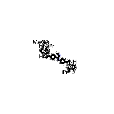 C/C=C\C(=C/c1ccc(-c2c[nH]c([C@@H]3CC[C@@H](C)N3C(=O)CC(C)C)n2)cc1)c1ccc(-c2c[nH]c([C@@H]3CC[C@@H](C)N3C(=O)[C@@H](NC(=O)OC)C(C)C)n2)cc1